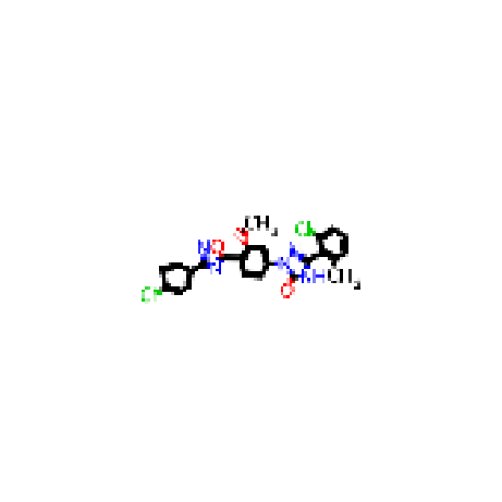 COc1cc(-n2nc(-c3c(C)cccc3Cl)[nH]c2=O)ccc1-c1nc(-c2ccc(Cl)cc2)no1